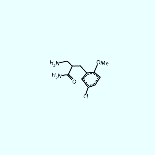 COc1ccc(Cl)cc1CC(CN)C(N)=O